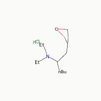 CCCCC(CC1CO1)N(CC)CC.Cl